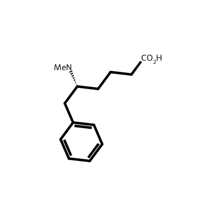 CN[C@H](CCCC(=O)O)Cc1ccccc1